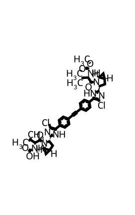 COC(=O)N[C@H](C(=O)N1[C@@H]2C[C@H]2C[C@H]1c1nc(Cl)c(-c2ccc(C#Cc3ccc(-c4[nH]c([C@@H]5C[C@H]6C[C@H]6N5C(=O)[C@@H](NC(=O)O)C(C)C)nc4Cl)cc3)cc2)[nH]1)C(C)C